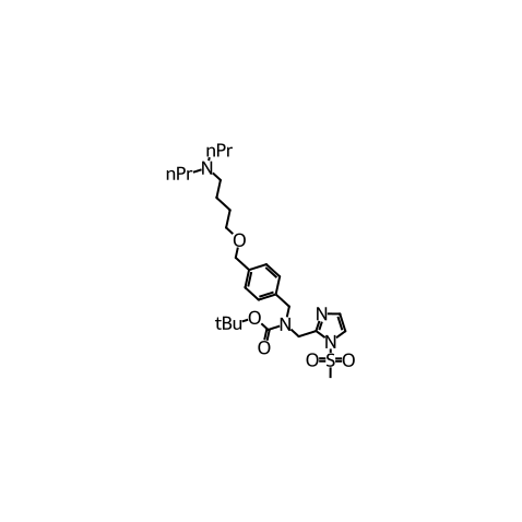 CCCN(CCC)CCCCOCc1ccc(CN(Cc2nccn2S(C)(=O)=O)C(=O)OC(C)(C)C)cc1